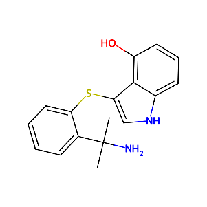 CC(C)(N)c1ccccc1Sc1c[nH]c2cccc(O)c12